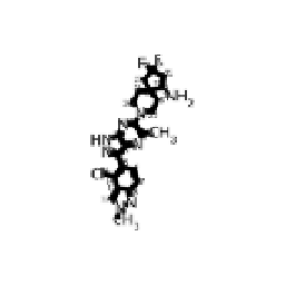 Cc1nc2c(-c3ccc4nn(C)cc4c3Cl)n[nH]c2nc1N1CCC2(CC1)CC(F)(F)C[C@H]2N